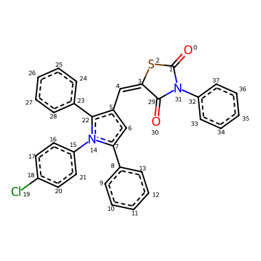 O=C1SC(=Cc2cc(-c3ccccc3)n(-c3ccc(Cl)cc3)c2-c2ccccc2)C(=O)N1c1ccccc1